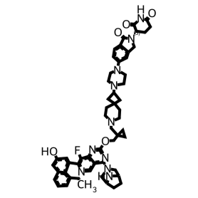 CCc1cccc2cc(O)cc(-c3ncc4c(N5CC6CCC(C5)N6)nc(OCC5(CN6CCC7(CC6)CC(N6CCN(c8ccc9c(c8)CN([C@H]8CCC(=O)NC8=O)C9=O)CC6)C7)CC5)nc4c3F)c12